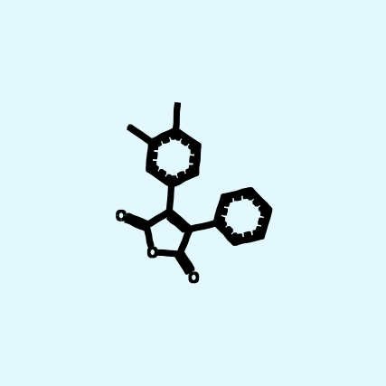 Cc1ccc(C2=C(c3ccccc3)C(=O)OC2=O)cc1C